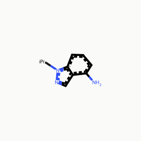 CC(C)n1ncc2c(N)cccc21